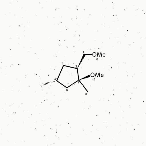 COC[C@@H]1C[C@@H](C)C[C@]1(C)OC